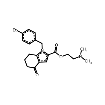 CCc1ccc(Cn2c(C(=O)OCCN(C)C)cc3c2CCCC3=O)cc1